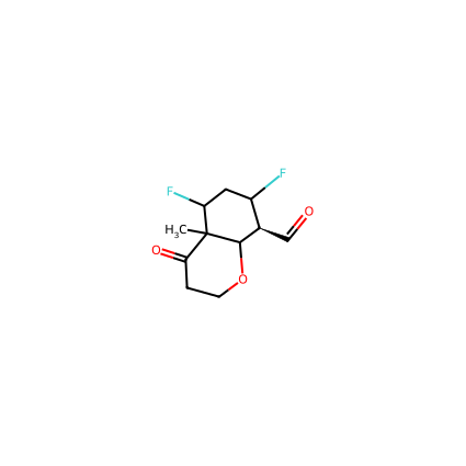 CC12C(=O)CCOC1[C@H](C=O)C(F)CC2F